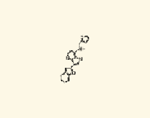 c1csc(CNc2ccnc3c(-c4cc5ccccc5o4)cnn23)c1